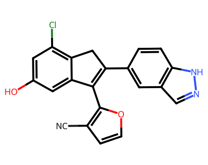 N#Cc1ccoc1C1=C(c2ccc3[nH]ncc3c2)Cc2c(Cl)cc(O)cc21